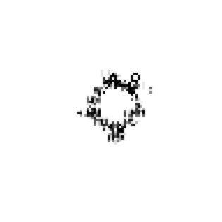 CC1NC(=O)C(CC(=O)O)NC(=O)C(CCCN)NC(=O)CNC(=O)C(C)C(C)OC(=O)C(CC(=O)c2ccccc2N)NC(=O)C(C(C)CC(=O)O)NC(=O)C(CO)NC(=O)CNC(=O)C(CC(=O)O)NC1=O